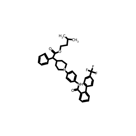 CC(C)CCOC(=O)C(c1ccccc1)C1CCN(c2ccc(NC(=O)c3ccccc3-c3ccc(C(F)(F)F)cc3)cc2)CC1